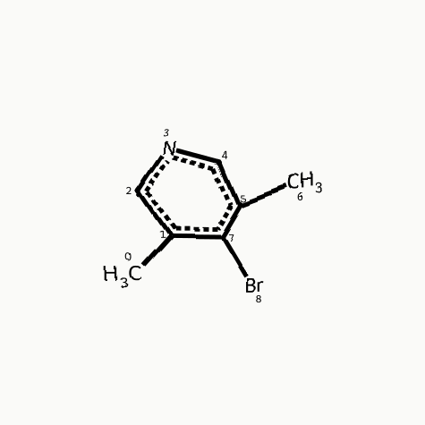 Cc1[c]ncc(C)c1Br